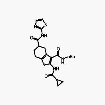 CCCCNC(=O)c1c(NC(=O)C2CC2)sc2c1CC(C(=O)Nc1nccs1)CC2